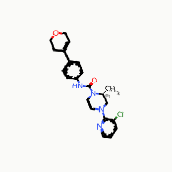 C[C@@H]1CN(c2ncccc2Cl)CCN1C(=O)Nc1ccc(C2=CCOCC2)cc1